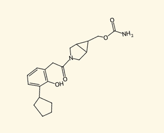 NC(=O)OCC1C2CN(C(=O)Cc3cccc(C4CCCC4)c3O)CC12